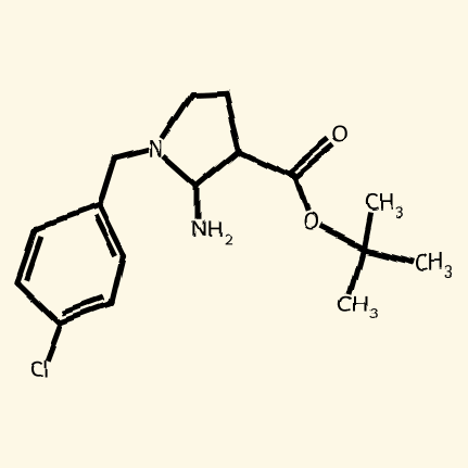 CC(C)(C)OC(=O)C1CCN(Cc2ccc(Cl)cc2)C1N